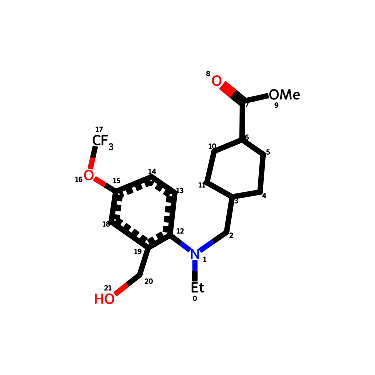 CCN(CC1CCC(C(=O)OC)CC1)c1ccc(OC(F)(F)F)cc1CO